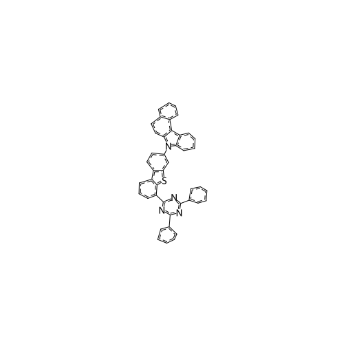 c1ccc(-c2nc(-c3ccccc3)nc(-c3cccc4c3sc3cc(-n5c6ccccc6c6c7ccccc7ccc65)ccc34)n2)cc1